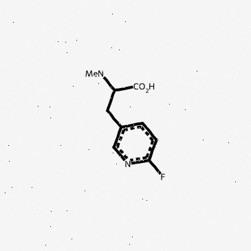 CNC(Cc1ccc(F)nc1)C(=O)O